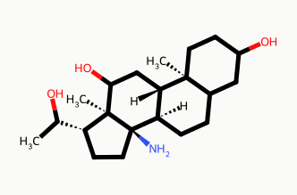 CC(O)[C@H]1CC[C@@]2(N)[C@@H]3CCC4CC(O)CC[C@]4(C)[C@H]3CC(O)[C@]12C